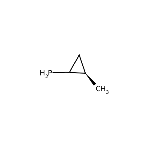 C[C@@H]1CC1P